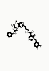 COc1cnc(C=CCNC(=O)c2cncn(Cc3ccc(F)c(F)c3)c2=O)nc1-n1nc(Nc2ccccc2)nc1N